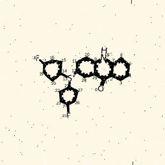 O=c1c2ccccc2[nH]c2ccc([S+](c3ccc(F)cc3)c3ccc(F)cc3)cc12